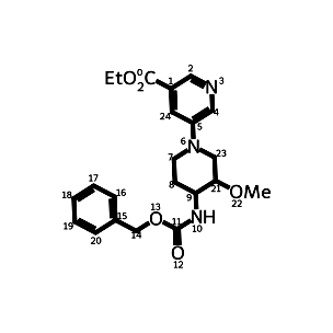 CCOC(=O)c1cncc(N2CCC(NC(=O)OCc3ccccc3)C(OC)C2)c1